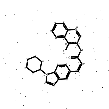 O=C(/C=C\c1ccc2c(ccn2C2CCCCC2)c1)Nc1cnc2ccccc2c1Cl